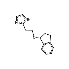 c1ccc2c(c1)CCC2OCCc1ncc[nH]1